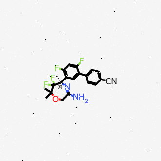 CC1(C)OCC(N)=N[C@](C)(c2cc(-c3ccc(C#N)cc3)c(F)cc2F)C1(F)F